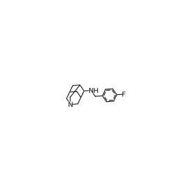 Fc1ccc(CNC2C3CC4CC2CN(C4)C3)cc1